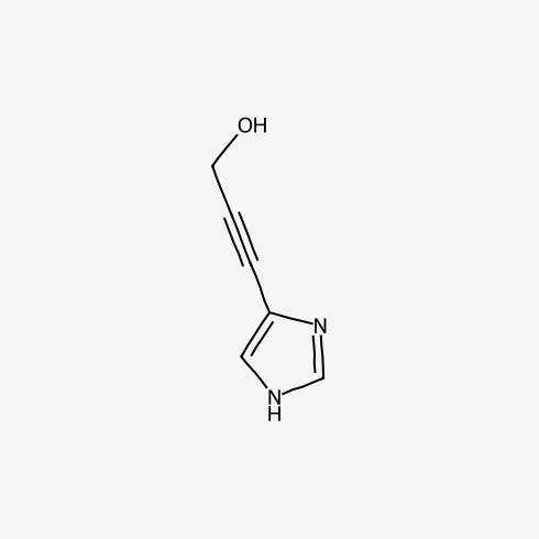 OCC#Cc1c[nH]cn1